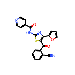 N#Cc1ccccc1C(=O)c1sc(NC(=O)c2ccncc2)nc1-c1ccco1